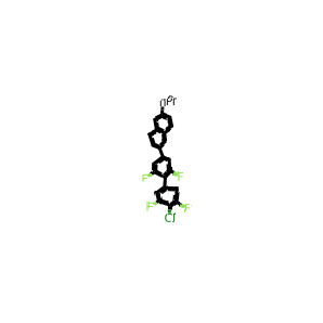 CCCc1ccc2cc(-c3cc(F)c(-c4cc(F)c(Cl)c(F)c4)c(F)c3)ccc2c1